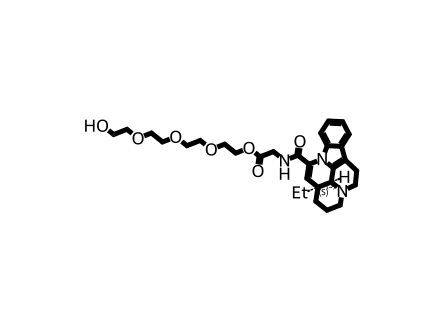 CC[C@@]12C=C(C(=O)NCC(=O)OCCOCCOCCOCCO)n3c4c(c5ccccc53)CCN(CCC1)[C@H]42